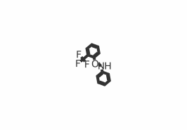 FC(F)(F)c1ccccc1ONc1ccccc1